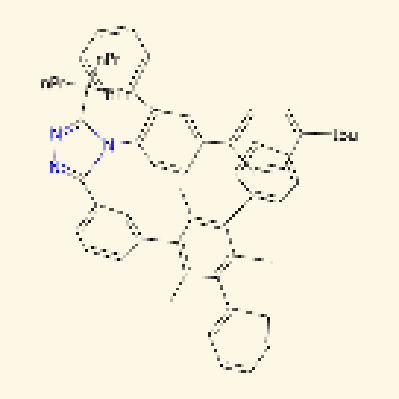 CCCC(CCC)(CCC)c1nnc(-c2cccc(-c3c(C)c(-c4ccccc4)c(C)c(-c4ccccc4)c3C)c2)n1-c1ccc(-c2ccc(C(C)(C)C)cc2)cc1-c1ccccc1